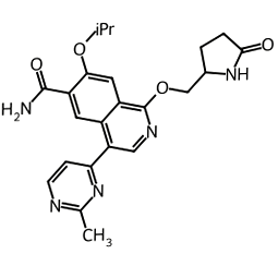 Cc1nccc(-c2cnc(OCC3CCC(=O)N3)c3cc(OC(C)C)c(C(N)=O)cc23)n1